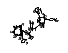 Cc1cc(C)nc(CNC(=O)c2cnccc2C(F)(F)F)n1